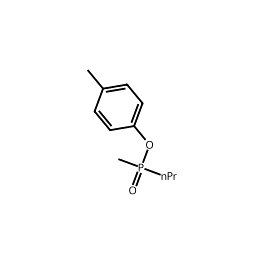 CCCP(C)(=O)Oc1ccc(C)cc1